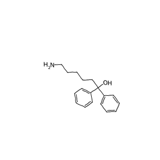 NCCCCCC(O)(c1ccccc1)c1ccccc1